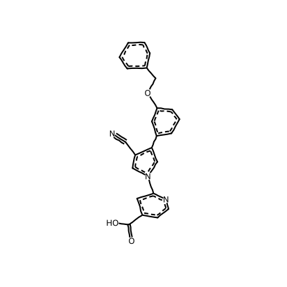 N#Cc1cn(-c2cc(C(=O)O)ccn2)cc1-c1cccc(OCc2ccccc2)c1